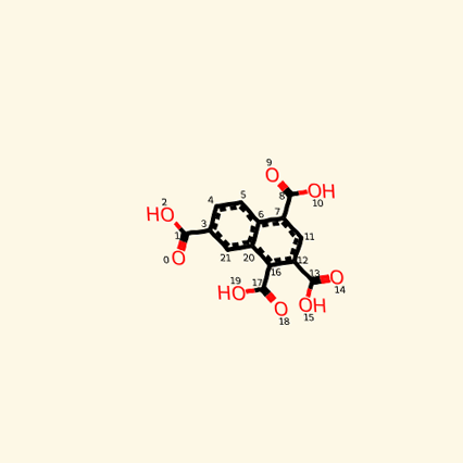 O=C(O)c1ccc2c(C(=O)O)cc(C(=O)O)c(C(=O)O)c2c1